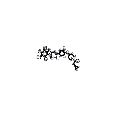 CCn1c(=O)c2c(nc(/C=C/c3ccc(OC4CCN(C(=O)CC5CC5)CC4)c(F)c3)n2C)n(CC)c1=O